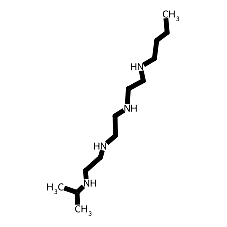 CCCCNCCNCCNCCNC(C)C